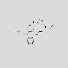 C=CCOc1cc(Cl)c(Cl)cc1C(N[S+]([O-])C(C)(C)C)C1CCN(C(=O)[C@H]2CCN(C(=O)OC(C)(C)C)C2)CC1